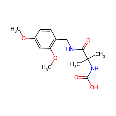 COc1ccc(CNC(=O)C(C)(C)NC(=O)O)c(OC)c1